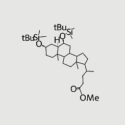 COC(=O)CCC(C)C1CCC2C3C[C@H](O[Si](C)(C)C(C)(C)C)[C@@H]4C[C@H](O[Si](C)(C)C(C)(C)C)CCC4(C)C3CCC12C